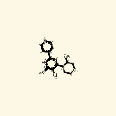 CCCC1COCCN1c1nc(-c2ccncc2)[nH]c(=O)c1Cl